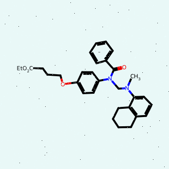 CCOC(=O)CCCOc1ccc(N(CN(C)c2cccc3c2CCCC3)C(=O)c2ccccc2)cc1